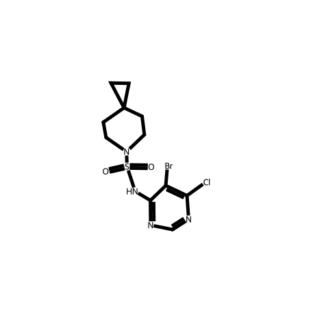 O=S(=O)(Nc1ncnc(Cl)c1Br)N1CCC2(CC1)CC2